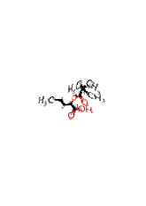 CCCC(OC(=O)C(C)(C)C)C(=O)O